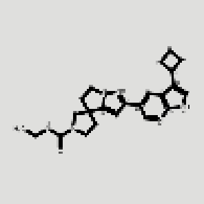 CCNC(=O)N1CCC2(CCn3nc(-c4cnc5[nH]cc(C6CCC6)c5c4)cc32)C1